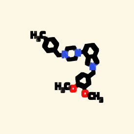 COc1ccc(Cn2cc3cccc(N4CCN(Cc5ccc(C)cc5)CC4)c3c2)cc1OC